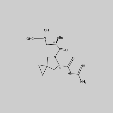 CCCC[C@H](CN(O)C=O)C(=O)N1CC2(CC2)C[C@H]1C(=O)NC(=N)N